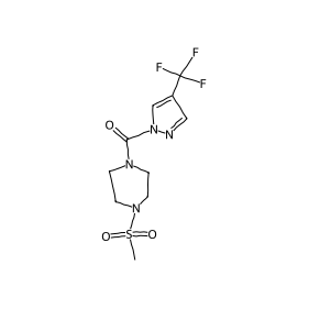 CS(=O)(=O)N1CCN(C(=O)n2cc(C(F)(F)F)cn2)CC1